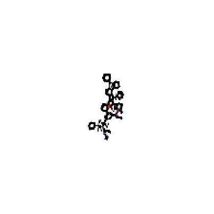 C=C/C=C(\C=C)c1nc(-c2ccccc2)nc(-c2cc(C(/C=C\C)=C/CC)c(-n3c4ccccc4c4c3ccc3c5ccc6c(c7ccccc7n6-c6ccccc6)c5n(-c5ccccc5)c34)c(-c3ccccc3)c2)n1